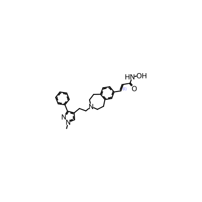 Cn1cc(CCN2CCc3ccc(/C=C/C(=O)NO)cc3CC2)c(-c2ccccc2)n1